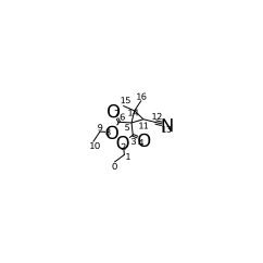 CCOC(=O)C1(C(=O)OCC)C(C#N)C1(C)C